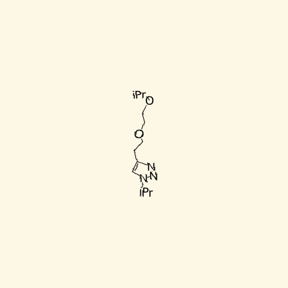 CC(C)OCCOCCc1cn(C(C)C)nn1